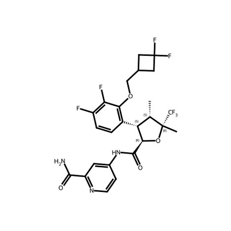 C[C@H]1[C@@H](c2ccc(F)c(F)c2OCC2CC(F)(F)C2)[C@H](C(=O)Nc2ccnc(C(N)=O)c2)O[C@@]1(C)C(F)(F)F